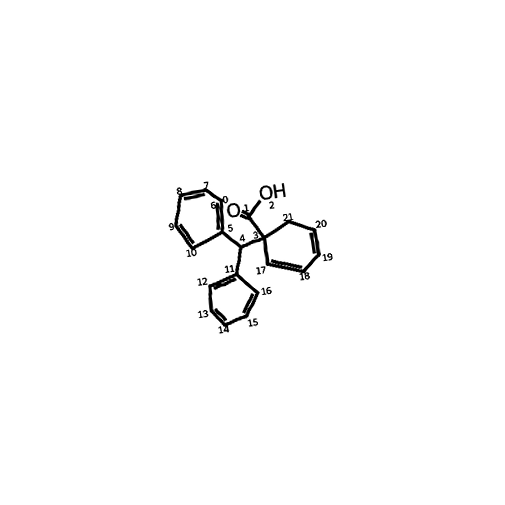 O=C(O)C1(C(c2ccccc2)c2ccccc2)C=CC=CC1